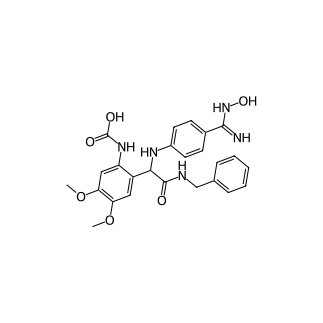 COc1cc(NC(=O)O)c(C(Nc2ccc(C(=N)NO)cc2)C(=O)NCc2ccccc2)cc1OC